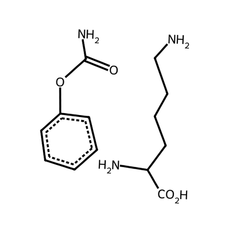 NC(=O)Oc1ccccc1.NCCCCC(N)C(=O)O